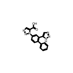 O=C(O)c1cnnn1-c1ccc(-c2ccccc2)c(-c2cnn[nH]2)c1